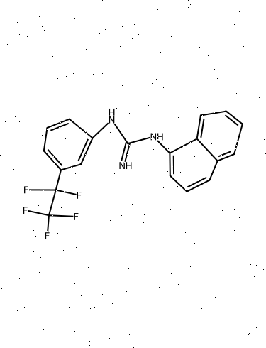 N=C(Nc1cccc(C(F)(F)C(F)(F)F)c1)Nc1cccc2ccccc12